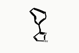 [c]1c[nH]nc1-c1ccccc1